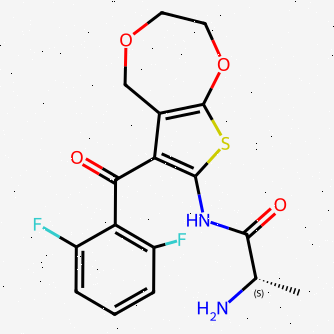 C[C@H](N)C(=O)Nc1sc2c(c1C(=O)c1c(F)cccc1F)COCCO2